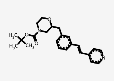 CC(C)(C)OC(=O)N1CCOC(Cc2cccc(C=Cc3ccncc3)c2)C1